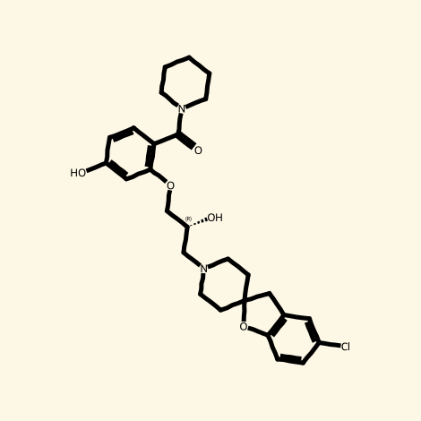 O=C(c1ccc(O)cc1OC[C@H](O)CN1CCC2(CC1)Cc1cc(Cl)ccc1O2)N1CCCCC1